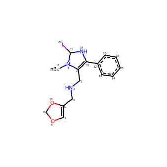 CCCCN1C(CNCC2=COCO2)=C(c2ccccc2)NC1I